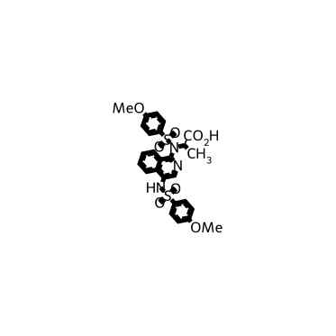 COc1ccc(S(=O)(=O)Nc2cnc(N([C@@H](C)C(=O)O)S(=O)(=O)c3ccc(OC)cc3)c3ccccc23)cc1